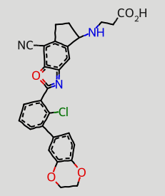 N#Cc1c2c(cc3nc(-c4cccc(-c5ccc6c(c5)OCCO6)c4Cl)oc13)C(NCCC(=O)O)CC2